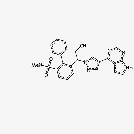 CNS(=O)(=O)c1cccc(C(CC#N)n2cc(-c3ncnc4[nH]ccc34)cn2)c1-c1ccccc1